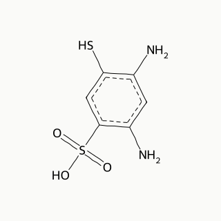 Nc1cc(N)c(S(=O)(=O)O)cc1S